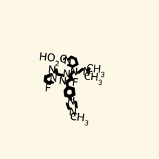 CN(C)CCN(c1nc(-c2cnc3ccc(F)cn23)nc(-c2ccc(N3CCN(C)CC3)cc2)c1F)[C@@H]1CCCN(C(=O)O)C1